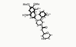 COc1cc2c(N)nc(N3CCN(C(=O)CC4CNCCO4)CC3c3ccccc3)nc2c(F)c1OC.Cl